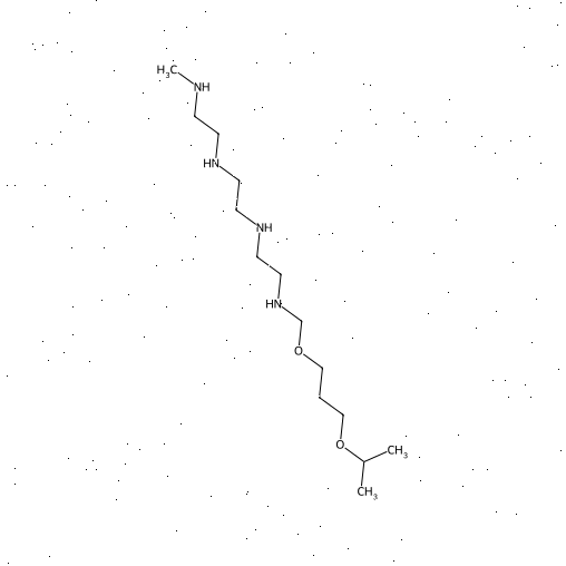 CNCCNCCNCCNCOCCCOC(C)C